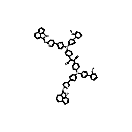 COc1ccccc1-c1ccc(N(c2ccc(/C(C#N)=C(\C#N)c3ccc(N(c4ccc(-c5ccc(/N=C6\Nc7cccc8cccc6c78)nc5)cc4)c4ccc(-c5ccccc5OC)cc4)cc3)cc2)c2ccc(-c3ccc(/N=C4\Nc5cccc6cccc4c56)nc3)cc2)cc1